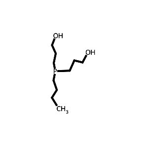 CCCCP(CCCO)CCCO